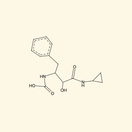 O=C(O)NC(Cc1ccccc1)C(O)C(=O)NC1CC1